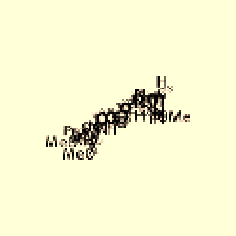 COC[C@H]1C[C@@H](c2nc3ccc4cc5c(cc4c3[nH]2)OCc2cc(-c3cnc([C@@H]4C[C@H](C)CN4C(=O)[C@@H](NOC)C(C)C)[nH]3)ccc2-5)N(C(=O)[C@@H](NOC)C(C)C)C1